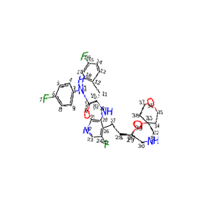 O=C(Nc1ccc(F)cc1)[C@H](Cc1ccc(F)cc1)Nc1cncc(F)c1CC[C@@H]1CNCC2(CCOCC2)O1